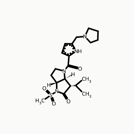 CC(C)[C@@H]1C(=O)N(S(C)(=O)=O)[C@@H]2CCN(C(=O)c3ccc(CN4CCCC4)[nH]3)[C@H]21